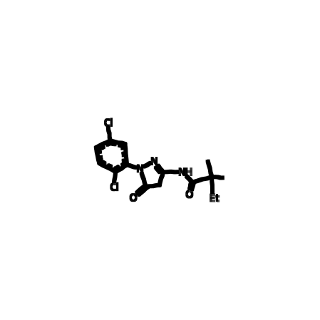 CCC(C)(C)C(=O)NC1=NN(c2cc(Cl)ccc2Cl)C(=O)C1